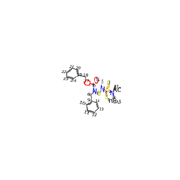 CCCCSP(=S)(N(C)SN(Cc1ccccc1)C(=O)OCc1ccccc1)N(C)C(C)=O